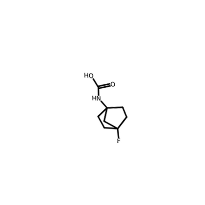 O=C(O)NC12CCC(F)(CC1)C2